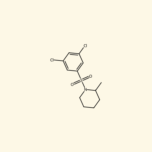 C[C]1CCCCN1S(=O)(=O)c1cc(Cl)cc(Cl)c1